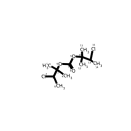 CC(Cl)C(C)(C)OC(=O)OC(C)(C)C(C)Cl